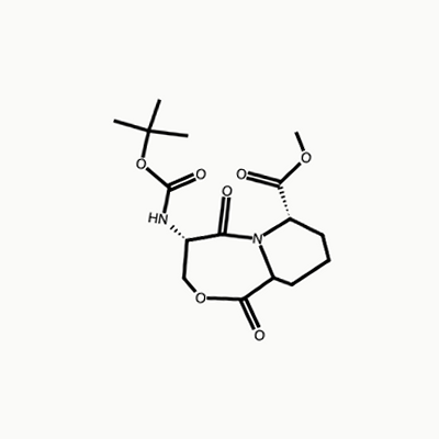 COC(=O)[C@@H]1CCCC2C(=O)OC[C@H](NC(=O)OC(C)(C)C)C(=O)N21